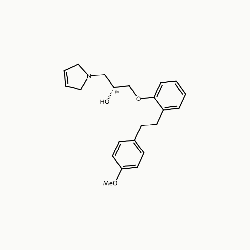 COc1ccc(CCc2ccccc2OC[C@H](O)CN2CC=CC2)cc1